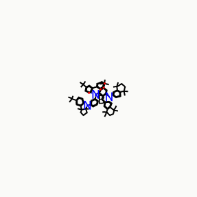 CC(C)(C)c1ccc(N2c3cc(N4c5ccc(C(C)(C)C)cc5C5(C)CCCC45C)ccc3B3c4cc5c(cc4N(c4ccc6c(c4)C(C)(C)CCC6(C)C)c4cc(C(C)(C)C)cc2c43)C(C)(C)CCC5(C)C)c(-c2ccccc2)c1